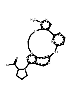 Cn1ncc2c1OCCCn1nc(N3CCCC3C(=O)O)c3cnc(cc31)Nc1ccnc-2n1